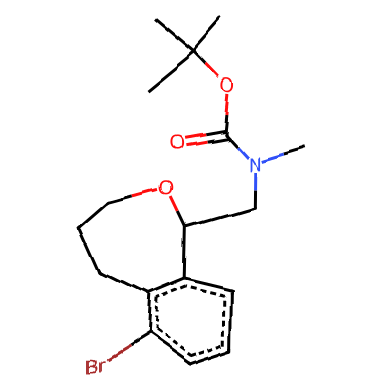 CN(CC1OCCCc2c(Br)cccc21)C(=O)OC(C)(C)C